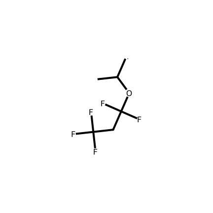 [CH2]C(C)OC(F)(F)CC(F)(F)F